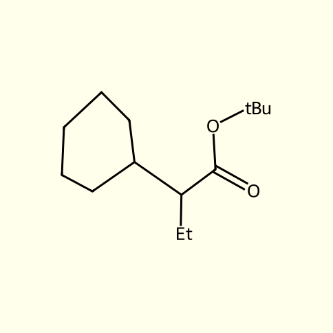 CCC(C(=O)OC(C)(C)C)C1CCCCC1